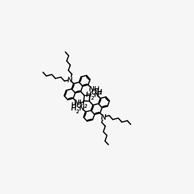 CCCCCCN(CCCCCC)c1c2cccc(N)c2c(C2C(O)C(c3c4c(N)cccc4c(N(CCCCCC)CCCCCC)c4cccc(N)c34)C2O)c2c(N)cccc12